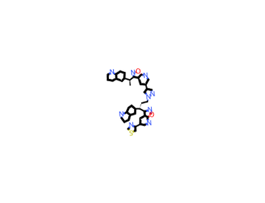 C[C@@H](c1ccc2ncccc2c1)c1noc2ncc(-c3cnn(CC[C@@H](c4ccc5ncccc5c4)c4noc5ncc(-c6cscn6)cc45)c3)cc12